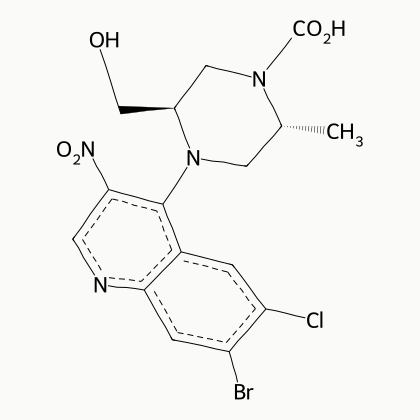 C[C@@H]1CN(c2c([N+](=O)[O-])cnc3cc(Br)c(Cl)cc23)[C@@H](CO)CN1C(=O)O